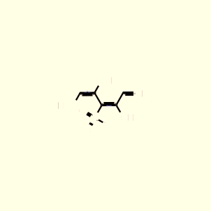 C=C/C(C)=C(\C(C)=C/C)S(=O)(=O)Cl